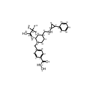 O=C(NO)c1ccc(CN2CCC(CNC3CC3c3ccccc3)CC2)cc1.O=C(O)C(F)(F)F